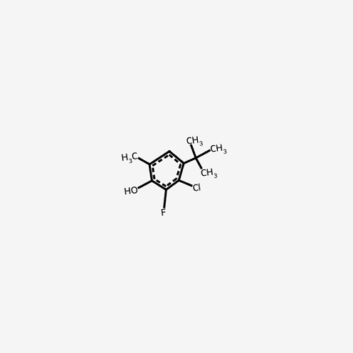 Cc1cc(C(C)(C)C)c(Cl)c(F)c1O